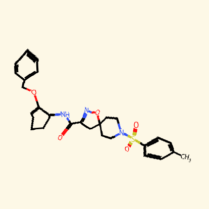 Cc1ccc(S(=O)(=O)N2CCC3(CC2)CC(C(=O)NC2CCCC2OCc2ccccc2)=NO3)cc1